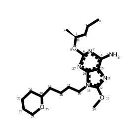 CCC[C@H](C)Oc1nc(N)c2nc(OC)n(CCCCC3CCCCO3)c2n1